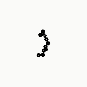 CC1(C)c2cc(-c3cccc(-c4ccc(-c5cnc6c7ccccc7c7ccccc7c6n5)cc4)c3)ccc2-c2ccc(-c3cccc4c3sc3ccccc34)cc21